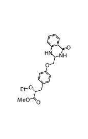 CCOC(Cc1ccc(OCC2NC(=O)c3ccccc3N2)cc1)C(=O)OC